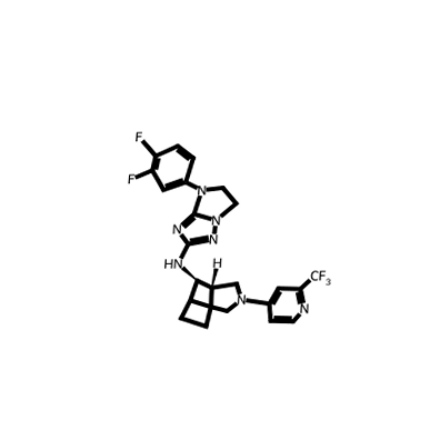 Fc1ccc(N2CCn3nc(N[C@@H]4C5CCC56CN(c5ccnc(C(F)(F)F)c5)C[C@@H]46)nc32)cc1F